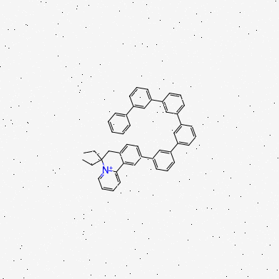 CCC1(CC)Cc2ccc(-c3cccc(-c4cccc(-c5cccc(-c6cccc(-c7ccccc7)c6)c5)c4)c3)cc2-c2cccc[n+]21